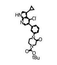 CC(C)(C)OC(=O)N1CCN(c2cccc(-c3cnc4[nH]cc(C5CC5)c4c3Cl)c2)C(=O)C1